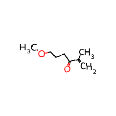 C=C(C)C(=O)CCCOC